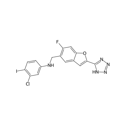 Fc1cc2oc(-c3nnn[nH]3)cc2cc1CNc1ccc(I)c(Cl)c1